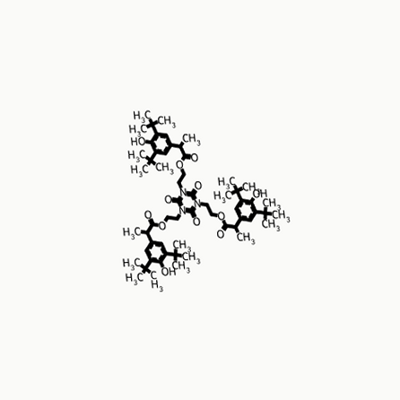 CC(C(=O)OCCn1c(=O)n(CCOC(=O)C(C)c2cc(C(C)(C)C)c(O)c(C(C)(C)C)c2)c(=O)n(CCOC(=O)C(C)c2cc(C(C)(C)C)c(O)c(C(C)(C)C)c2)c1=O)c1cc(C(C)(C)C)c(O)c(C(C)(C)C)c1